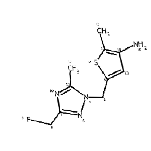 Cc1sc(Cn2nc(CF)nc2C(F)(F)F)cc1N